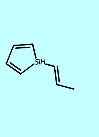 CC=C[SiH]1C=CC=C1